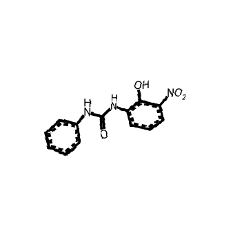 O=C(Nc1ccccc1)Nc1cccc([N+](=O)[O-])c1O